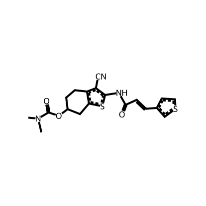 CN(C)C(=O)OC1CCc2c(sc(NC(=O)C=Cc3ccsc3)c2C#N)C1